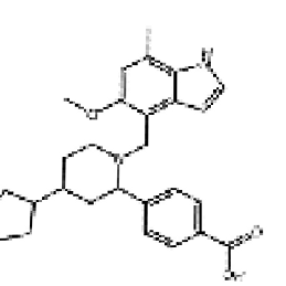 COc1cc(C)c2[nH]ccc2c1CN1CCC(C2CCCC2)CC1c1ccc(C(=O)O)cc1